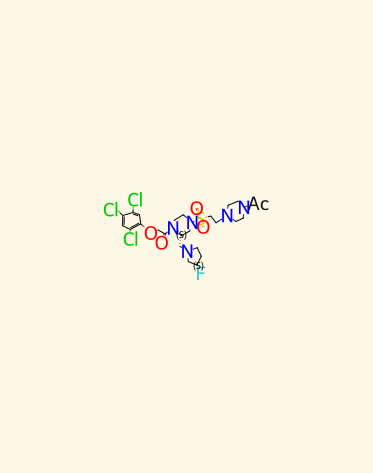 CC(=O)N1CCN(CCS(=O)(=O)N2CCN(C(=O)COc3cc(Cl)c(Cl)cc3Cl)[C@@H](CN3CC[C@H](F)C3)C2)CC1